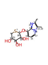 Cc1nc2c(O[C@@H]3SC[C@@H](O)[C@H](O)[C@H]3O)cccn2c1C